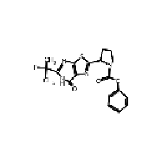 CC(C)(F)c1nc2sc(C3CCCN3C(=O)Oc3ccccc3)nc2c(=O)[nH]1